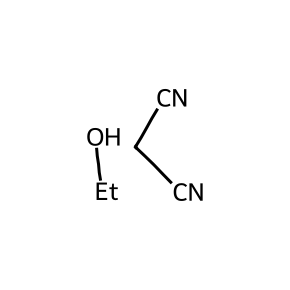 CCO.N#CCC#N